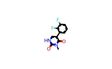 Cn1c(=O)[nH]cc(-c2cccc(F)c2F)c1=O